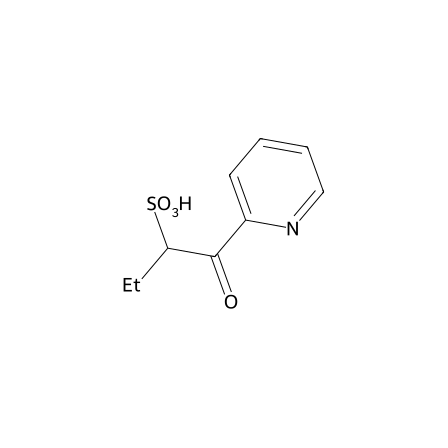 CCC(C(=O)c1ccccn1)S(=O)(=O)O